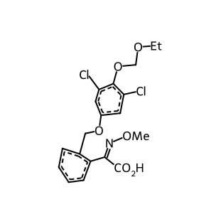 CCOCOc1c(Cl)cc(OCc2ccccc2C(=NOC)C(=O)O)cc1Cl